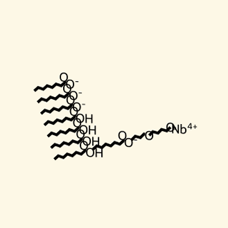 CCCCCCCC(=O)O.CCCCCCCC(=O)O.CCCCCCCC(=O)O.CCCCCCCC(=O)O.CCCCCCCC(=O)[O-].CCCCCCCC(=O)[O-].CCCCCCCC(=O)[O-].CCCCCCCC(=O)[O-].CCCCOCCCC[O][Nb+4]